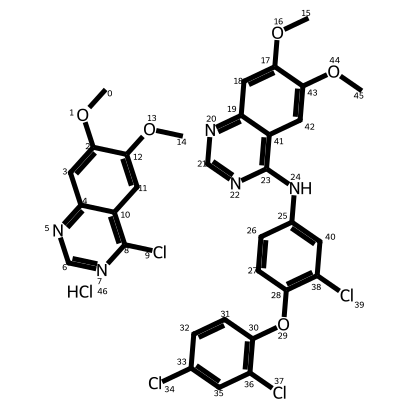 COc1cc2ncnc(Cl)c2cc1OC.COc1cc2ncnc(Nc3ccc(Oc4ccc(Cl)cc4Cl)c(Cl)c3)c2cc1OC.Cl